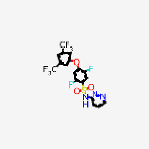 O=S(=O)(Nc1cccnn1)c1cc(F)c(Oc2cc(C(F)(F)F)cc(C(F)(F)F)c2)cc1F